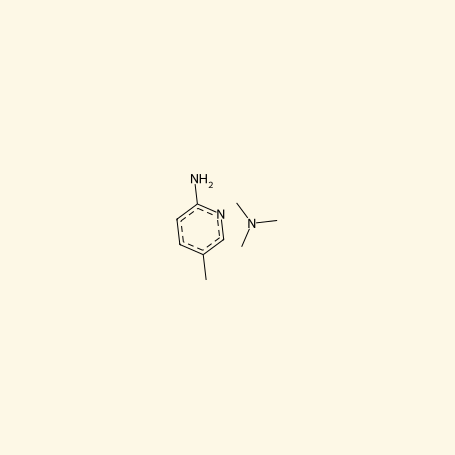 CN(C)C.Cc1ccc(N)nc1